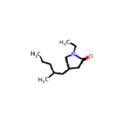 CCCC(C)CC1CC(=O)N(CC)C1